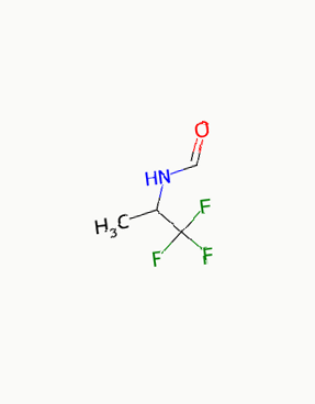 CC(NC=O)C(F)(F)F